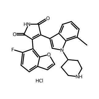 Cc1cccc2c(C3=C(c4c(F)ccc5ccoc45)C(=O)NC3=O)cn(C3CCNCC3)c12.Cl